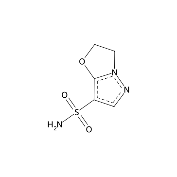 NS(=O)(=O)c1cnn2c1OCC2